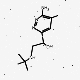 Cc1cc(C(O)CNC(C)(C)C)nnc1N